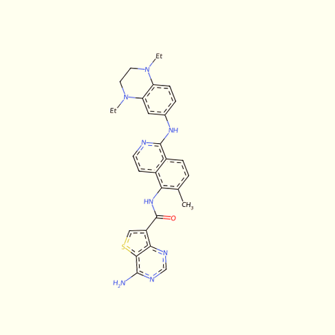 CCN1CCN(CC)c2cc(Nc3nccc4c(NC(=O)c5csc6c(N)ncnc56)c(C)ccc34)ccc21